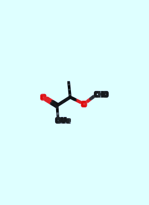 COC(=O)C(C)OC=O